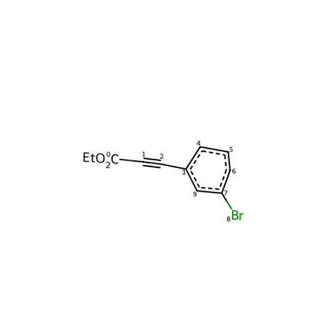 CCOC(=O)C#Cc1cccc(Br)c1